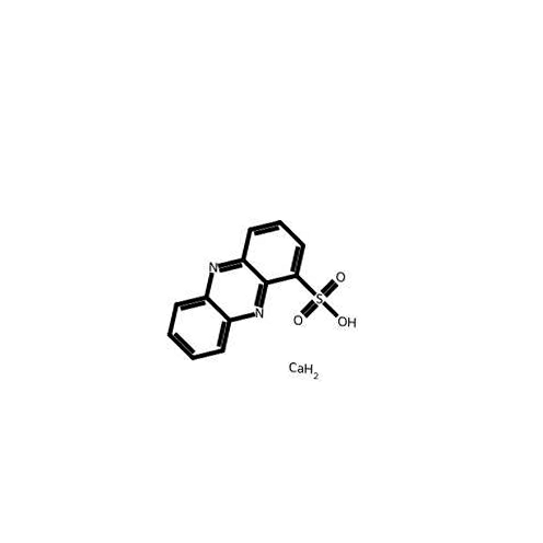 O=S(=O)(O)c1cccc2nc3ccccc3nc12.[CaH2]